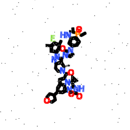 CCP(=O)(CC)c1ccc(-n2ccn(-c3c4c(nn3-c3cc(C)c(F)c(C)c3)CCN(C(=O)c3cc5cc(C6CCOCC6)ccc5n3C3(c5noc(=O)[nH]5)CC3)[C@H]4C)c2=O)cc1NC